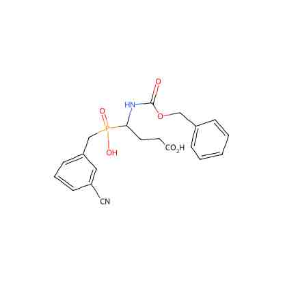 N#Cc1cccc(CP(=O)(O)C(CCC(=O)O)NC(=O)OCc2ccccc2)c1